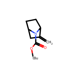 C=C1CC2CCC1N2C(=O)OC(C)(C)C